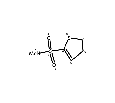 CNS(=O)(=O)C1=CCCS1